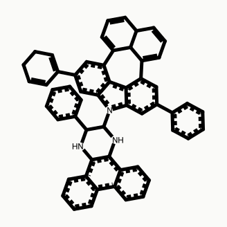 C1=CC2C=CC=C3c4cc(-c5ccccc5)cc5c4c4c(cc(C6=CCCC=C6)cc4n5C4Nc5c(c6ccccc6c6ccccc56)NC4c4ccccc4)C(=C1)C32